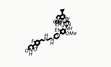 CCc1cc(Nc2ncc(Br)c(Nc3ccc(C4CC4)c4c3N(S(C)(=O)=O)CC4)n2)c(OC)cc1N1CCC(NCCNCCc2cc(F)c(C3CCC(=O)NC3=O)c(F)c2)CC1